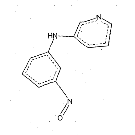 O=Nc1cccc(Nc2cccnc2)c1